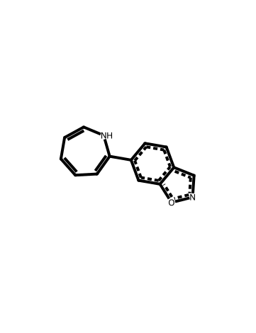 C1=CC=C(c2ccc3cnoc3c2)NC=C1